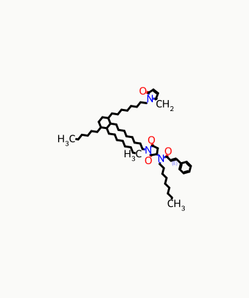 C=C1C=CC(=O)N1CCCCCCCCC1CCC(CCCCCC)C(CCCCCCCC)C1CCCCCCCCN1C(=O)CC(N(CCCCCCCCC)C(=O)/C=C/c2ccccc2)C1=O